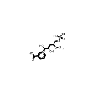 CO[C@H](COP(=O)(O)O)C[C@H](O)[C@H](O)[n+]1cccc(C(=O)O)c1